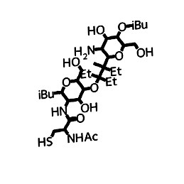 CCC(C)OC1C(CO)OC(C(C)(CC)C(CC)(CC)OC2C(CO)OC(C(C)CC)C(NC(=O)C(CS)NC(C)=O)C2O)C(N)C1O